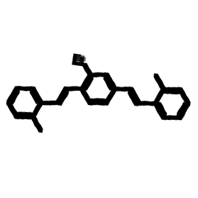 CCc1cc(/C=C/c2ccccc2C)ccc1/C=C/c1ccccc1C